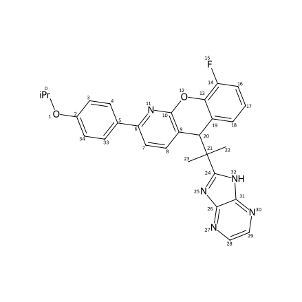 CC(C)Oc1ccc(-c2ccc3c(n2)Oc2c(F)cccc2C3C(C)(C)c2nc3nccnc3[nH]2)cc1